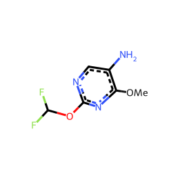 COc1nc(OC(F)F)ncc1N